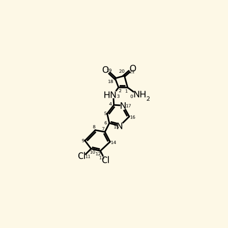 Nc1c(Nc2cc(-c3ccc(Cl)c(Cl)c3)ncn2)c(=O)c1=O